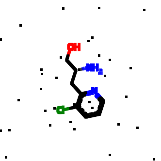 N[C@@H](CO)Cc1ncccc1Cl